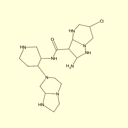 NC1NN2CC(Cl)CNC2C1C(=O)NC1CNCCC1N1CCN2CCNC2C1